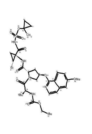 CC[C@@H]1C[C@]1(NC(=O)[C@@H]1C[C@@H](Oc2nccc3cc(OC)ccc23)CN1C(=O)[C@@H](NC(=O)OCC(C)(C)C)C(C)(C)C)C(=O)NS(=O)(=O)OC1(C)CC1